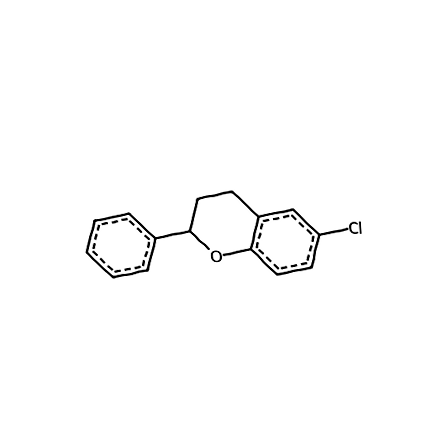 Clc1ccc2c(c1)CCC(c1ccccc1)O2